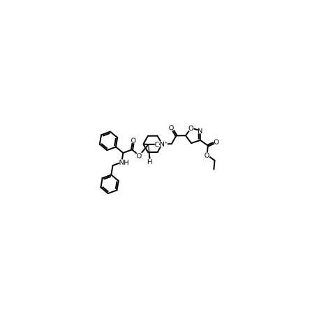 CCOC(=O)C1=NOC(C(=O)C[N+]23CCC(CC2)[C@@H](OC(=O)C(NCc2ccccc2)c2ccccc2)C3)C1